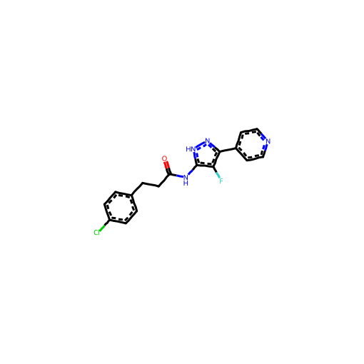 O=C(CCc1ccc(Cl)cc1)Nc1[nH]nc(-c2ccncc2)c1F